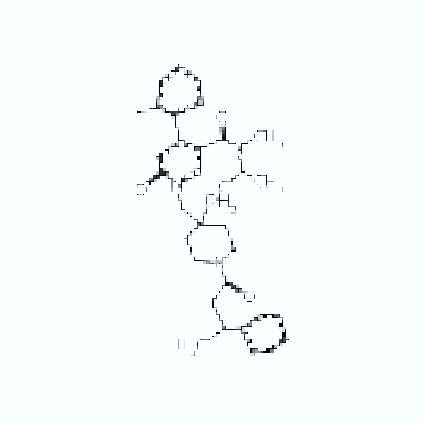 CC(CC(=O)N1CCC(O)(Cn2cc(C(=O)N(C)C(C)C)c(-c3ccccc3F)cc2=O)CC1)c1ccccc1